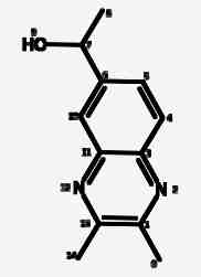 Cc1nc2ccc(C(C)O)cc2nc1C